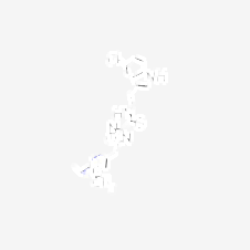 C=C(/C=C\C(=C/C)OC(F)(F)F)Cc1nc(C(=O)NCCc2c[nH]c3ccc(Cl)cc23)no1